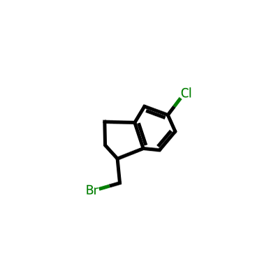 Clc1ccc2c(c1)CCC2CBr